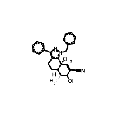 C[C@H]1C(O)C(C#N)=C[C@@]2(C)c3c(c(-c4ccccc4)nn3Cc3ccccc3)CC[C@H]12